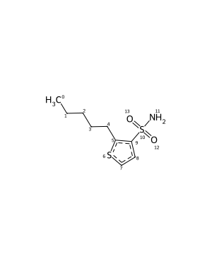 CCCCCc1sccc1S(N)(=O)=O